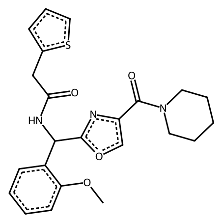 COc1ccccc1C(NC(=O)Cc1cccs1)c1nc(C(=O)N2CCCCC2)co1